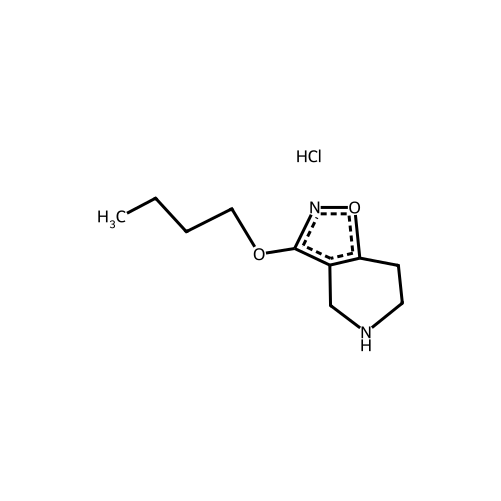 CCCCOc1noc2c1CNCC2.Cl